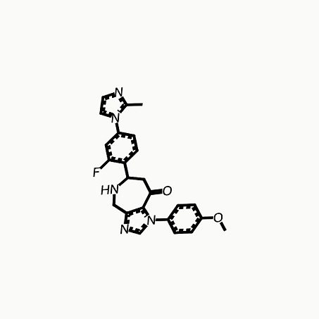 COc1ccc(-n2cnc3c2C(=O)CC(c2ccc(-n4ccnc4C)cc2F)NC3)cc1